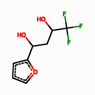 OC(CC(O)C(F)(F)F)c1ccco1